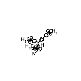 CC(C)C[C@H](NC(c1ccc(-c2ccc(S(C)(=O)=O)cc2)cc1)c1ccc(S(C)(=O)=O)cc1)C(=O)NCC#N